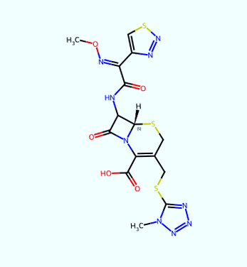 CON=C(C(=O)NC1C(=O)N2C(C(=O)O)=C(CSc3nnnn3C)CS[C@@H]12)c1csnn1